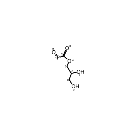 O=PC(=O)OCC(O)CO